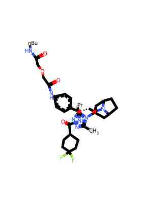 CCCCNC(=O)COCC(=O)Nc1ccc([C@H](CCN2C3CCC2CC(n2c(C)nnc2C(C)C)C3)NC(=O)C2CCC(F)(F)CC2)cc1